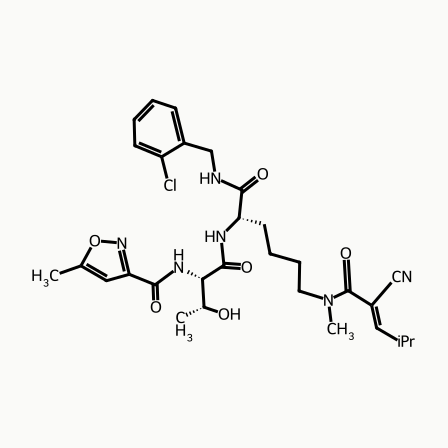 Cc1cc(C(=O)N[C@H](C(=O)N[C@@H](CCCCN(C)C(=O)C(C#N)=CC(C)C)C(=O)NCc2ccccc2Cl)[C@@H](C)O)no1